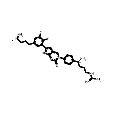 C[C@H](N)CCCc1cc(Cl)c(F)c(-c2cc3cn(-c4ccc([C@H](N)CCCNC(=N)N)cc4)c(=O)nc3[nH]2)c1